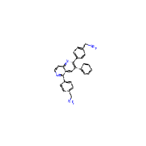 NCc1ccc(-c2nc3ccnc(-c4ccc(CN)cc4)c3cc2-c2ccccc2)cc1